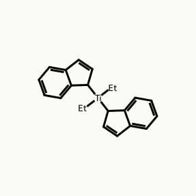 C[CH2][Ti]([CH2]C)([CH]1C=Cc2ccccc21)[CH]1C=Cc2ccccc21